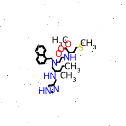 CCC(C)C(CN(CC(=O)NC(CCSC)C(=O)OC)Cc1cccc2ccccc12)NCc1c[nH]cn1